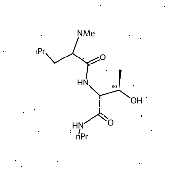 CCCNC(=O)C(NC(=O)C(CC(C)C)NC)[C@@H](C)O